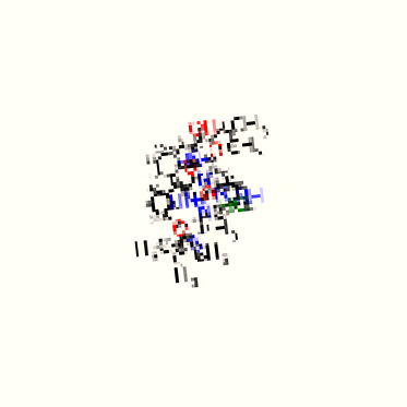 CC(C)CC[C@H](O)[C@H](CC1CCCCC1)NC(=O)[C@H](Cc1c[nH]cn1)N(C)C(=O)[C@H](Cc1ccccc1)NC(=O)N(C)CCN(C)C(=O)C(C)C.Cl